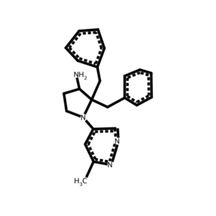 Cc1cc(N2CCC(N)C2(Cc2ccccc2)Cc2ccccc2)cnn1